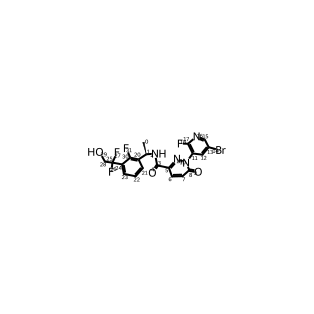 C[C@@H](NC(=O)c1ccc(=O)n(-c2cc(Br)cnc2F)n1)c1cccc(C(F)(F)CO)c1F